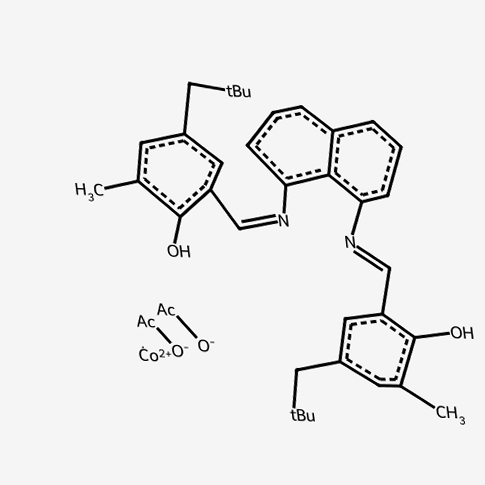 CC(=O)[O-].CC(=O)[O-].Cc1cc(CC(C)(C)C)cc(C=Nc2cccc3cccc(N=Cc4cc(CC(C)(C)C)cc(C)c4O)c23)c1O.[Co+2]